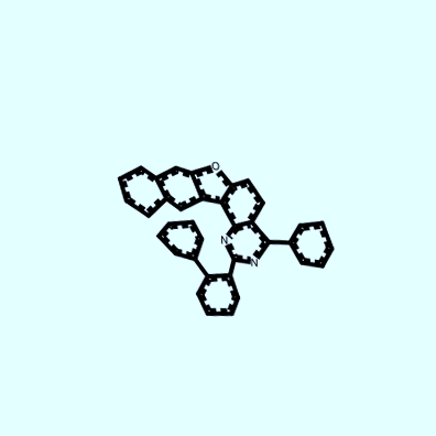 c1ccc(-c2ccccc2-c2nc(-c3ccccc3)c3ccc4oc5cc6ccccc6cc5c4c3n2)cc1